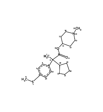 CSc1ccc(C(C)(C(=O)OC2CCN(C)CC2)C2CCCC2)cc1